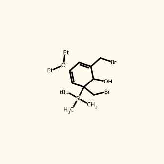 CC(C)(C)[Si](C)(C)C1(CBr)C=CC=C(CBr)C1O.CCOCC